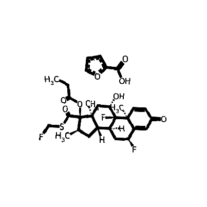 CCC(=O)O[C@]1(C(=O)SCF)[C@H](C)C[C@H]2[C@@H]3C[C@H](F)C4=CC(=O)C=C[C@]4(C)[C@@]3(F)[C@@H](O)C[C@@]21C.O=C(O)c1ccco1